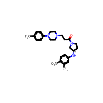 O=C(CCN1CCN(c2ccc(C(F)(F)F)cc2)CC1)N1CC[C@@H](Nc2ccc([N+](=O)[O-])c(C(F)(F)F)c2)C1